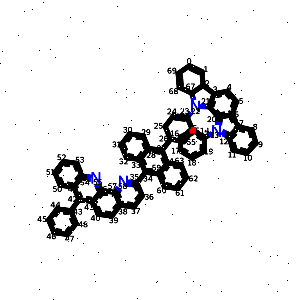 C1=CC2c3ccc4c5ccccc5n(-c5ccccc5)c4c3N(C3=CCC(c4c5ccccc5c(-c5ccc6ccc7c(-c8ccccc8)c8ccccc8nc7c6n5)c5ccccc45)C=C3)C2C=C1